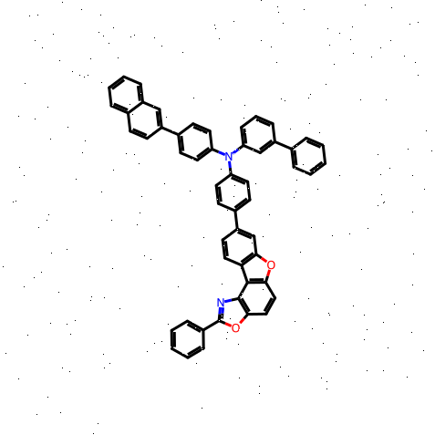 c1ccc(-c2cccc(N(c3ccc(-c4ccc5ccccc5c4)cc3)c3ccc(-c4ccc5c(c4)oc4ccc6oc(-c7ccccc7)nc6c45)cc3)c2)cc1